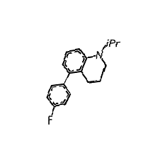 CC(C)N1CCCc2c(-c3ccc(F)cc3)cccc21